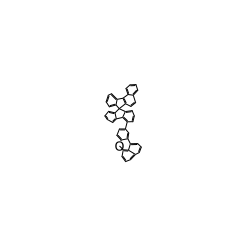 c1ccc2c(c1)-c1c(-c3ccc4c(c3)-c3cccc5cccc(c35)O4)cccc1C21c2ccccc2-c2c1ccc1ccccc21